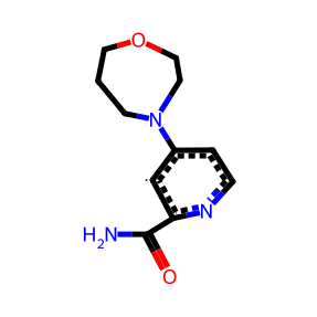 NC(=O)c1[c]c(N2CCCOCC2)ccn1